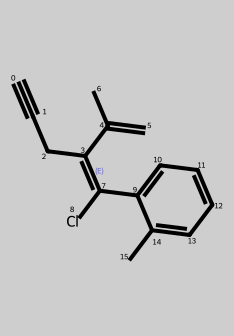 C#CC/C(C(=C)C)=C(\Cl)c1ccccc1C